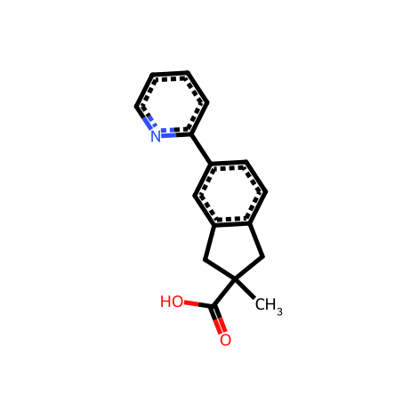 CC1(C(=O)O)Cc2ccc(-c3ccccn3)cc2C1